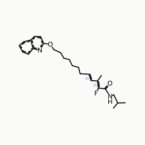 CC(/C=C/CCCCCCCOc1ccc2ccccc2n1)=C(/F)C(=O)NCC(C)C